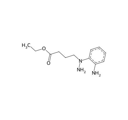 CCOC(=O)CCCN(N)c1ccccc1N